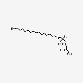 CCC(CO)(COCCCCCCCCCCCCCCCC(C)C)COCC(O)CO